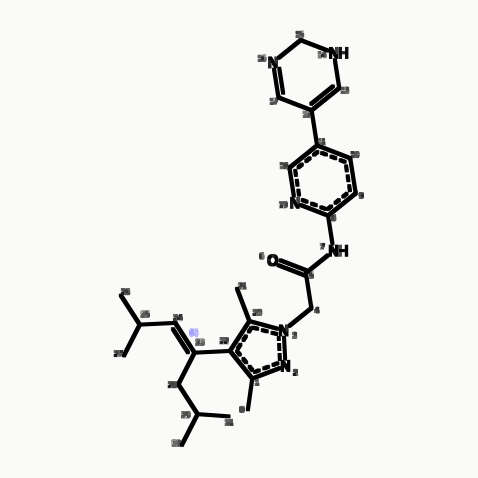 Cc1nn(CC(=O)Nc2ccc(C3=CNCN=C3)cn2)c(C)c1/C(=C/C(C)C)CC(C)C